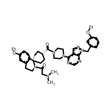 CCOc1cccc(Cn2ncc3c(N4CCN(C(=O)[C@H]5CC[C@@]6(CC5)c5ccc(OCC)cc5CCN6C(=O)CN(C)C)CC4)ncnc32)c1